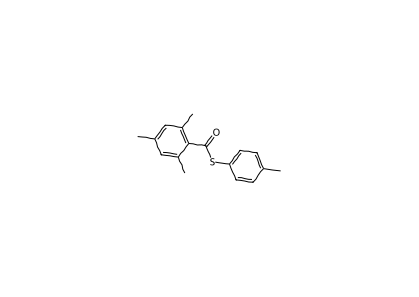 Cc1ccc(SC(=O)c2c(C)cc(C)cc2C)cc1